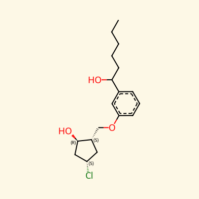 CCCCCC(O)c1cccc(OC[C@@H]2C[C@H](Cl)C[C@H]2O)c1